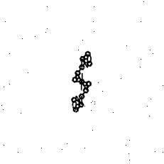 c1ccc(N(c2ccc(-c3ccc4c5cccc6c7cc8c(cc7n(c4c3)c56)c3cccc4c5ccc(-c6ccc(N(c7ccccc7)c7cccc9c7oc7ccccc79)cc6)cc5n8c43)cc2)c2cccc3c2oc2ccccc23)cc1